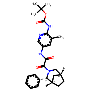 Cc1cc(NC(=O)C(=O)N2C[C@@H]3CC[C@@H](C3)[C@@H]2c2ccccc2)cnc1NC(=O)OC(C)(C)C